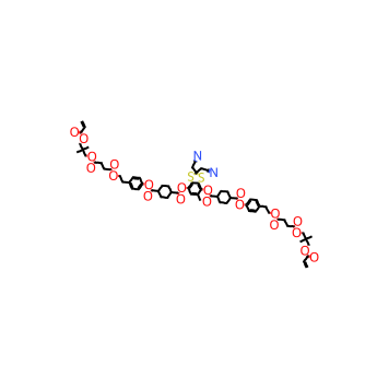 C=CC(=O)OCC(C)(C)COC(=O)CCC(=O)OCCc1ccc(OC(=O)C2CCC(C(=O)Oc3cc(C)c(OC(=O)C4CCC(C(=O)Oc5ccc(CCOC(=O)CCC(=O)OCC(C)(C)COC(=O)C=C)cc5)CC4)c4c3SC(CC#N)(CC#N)S4)CC2)cc1